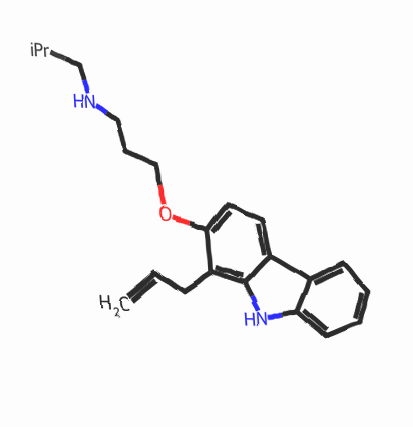 C=CCc1c(OCCCNCC(C)C)ccc2c1[nH]c1ccccc12